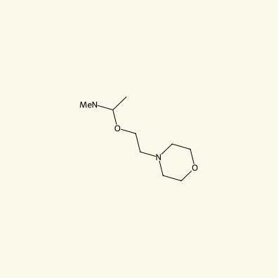 CNC(C)OCCN1CCOCC1